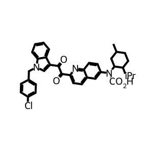 CC1CCC(C(C)C)C(N(C(=O)O)c2ccc3nc(C(=O)C(=O)c4cn(Cc5ccc(Cl)cc5)c5ccccc45)ccc3c2)C1